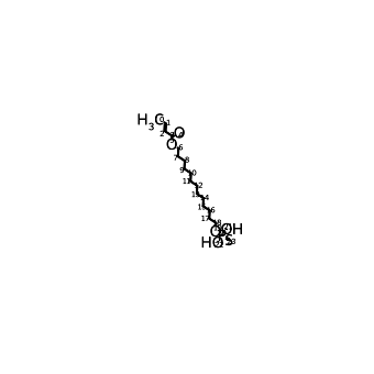 CC=CC(=O)OCCCCCCCCCCCCCOP(O)(O)=S